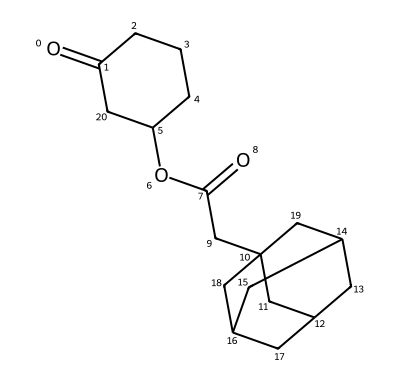 O=C1CCCC(OC(=O)CC23CC4CC(CC(C4)C2)C3)C1